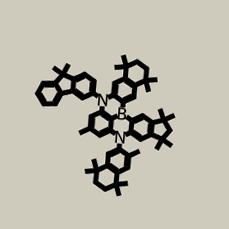 Cc1cc2c3c(c1)N(c1cc4c(cc1C)C(C)(C)CCC4(C)C)c1cc4c(cc1B3c1cc3c(cc1N2c1ccc2c(c1)-c1ccccc1C2(C)C)C(C)(C)CCC3(C)C)C(C)(C)CC4(C)C